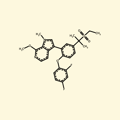 CCS(=O)(=O)C(C)(C)c1ccc(Oc2ccc(F)cc2F)c(-c2cn(C)c3c(OC)nccc23)c1